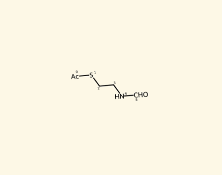 CC(=O)SCCNC=O